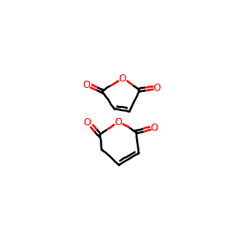 O=C1C=CC(=O)O1.O=C1C=CCC(=O)O1